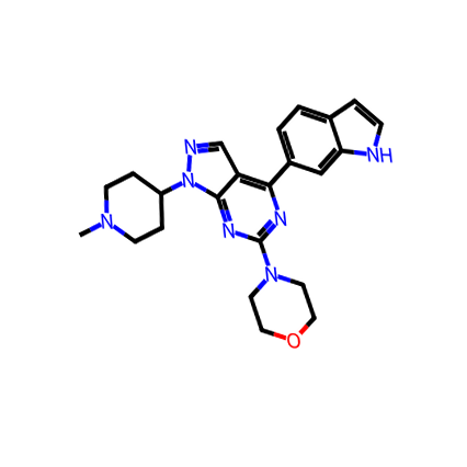 CN1CCC(n2ncc3c(-c4ccc5cc[nH]c5c4)nc(N4CCOCC4)nc32)CC1